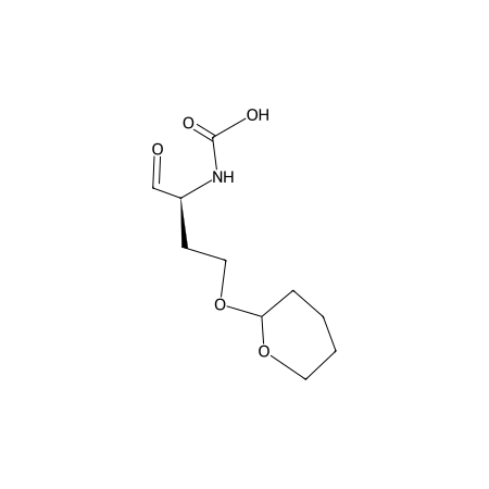 O=C[C@H](CCOC1CCCCO1)NC(=O)O